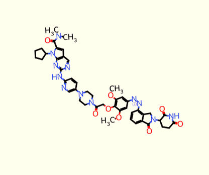 COc1cc(/N=N\c2cccc3c2CN(C2CCC(=O)NC2=O)C3=O)cc(OC)c1OCC(=O)N1CCN(c2ccc(Nc3ncc4cc(C(=O)N(C)C)n(C5CCCC5)c4n3)nc2)CC1